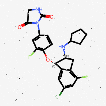 O=C1CNC(=O)N1c1ccc(O[C@H]2c3cc(Cl)cc(F)c3C[C@@H]2NC2CCCC2)c(F)c1